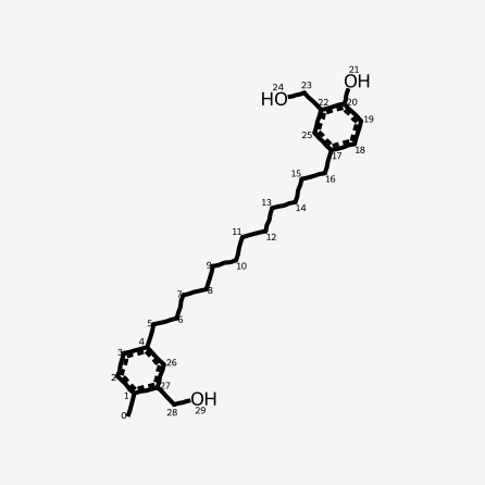 Cc1ccc(CCCCCCCCCCCCc2ccc(O)c(CO)c2)cc1CO